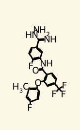 Cc1cc(F)ccc1Oc1cc(C(F)(F)F)ccc1C(=O)Nc1cc(C(=N)NN)ccc1F